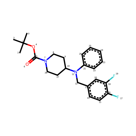 CC(C)(C)OC(=O)N1CCC(N(Cc2ccc(F)c(F)c2)c2ccccc2)CC1